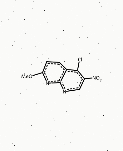 COc1ccc2c(Cl)c([N+](=O)[O-])cnc2n1